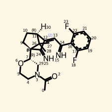 CC(=O)N1CCO[C@H]([C@@]23CC[C@@H](/C(=C/C(=N)c4c(F)cccc4F)C2=N)C3(C)C)C1